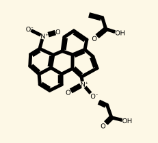 C=CC(=O)O.C=CC(=O)O.O=[N+]([O-])c1ccc2cccc3c4c([N+](=O)[O-])ccc5cccc(c1c23)c54